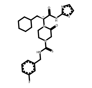 O=C(Nc1nccs1)[C@H](CC1CCCCC1)N1CCN(C(=S)NCc2cccc(F)c2)CC1=O